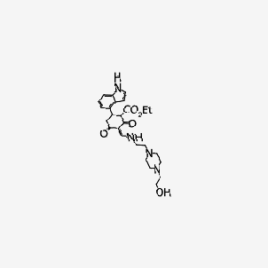 CCOC(=O)C1C(=O)/C(=C\NCCN2CCN(CCO)CC2)C(=O)CC1c1cccc2[nH]ccc12